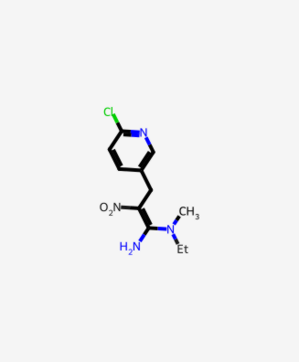 CCN(C)C(N)=C(Cc1ccc(Cl)nc1)[N+](=O)[O-]